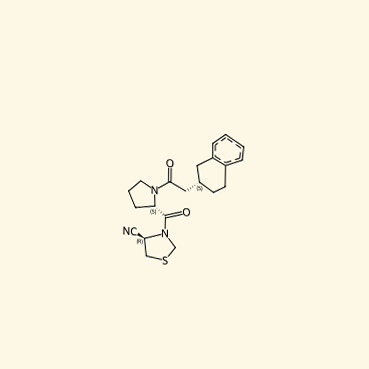 N#C[C@@H]1CSCN1C(=O)[C@@H]1CCCN1C(=O)C[C@H]1CCc2ccccc2C1